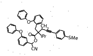 CSc1ccc(C#CC(C)C(Cc2ccccc2Oc2ccccc2)(C(=O)OC(C#N)c2cccc(Oc3ccccc3)c2)C(C)C)cc1